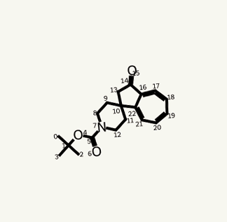 CC(C)(C)OC(=O)N1CCC2(CC1)CC(=O)C1=C=CC=CC=C12